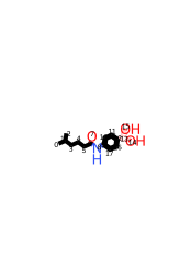 CC(C)CCCC(=O)Nc1ccc(B(O)O)cc1